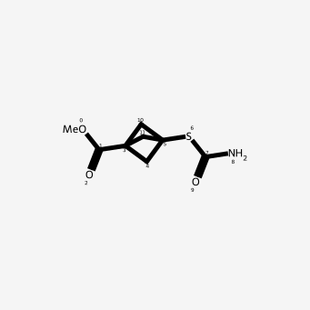 COC(=O)C12CC(SC(N)=O)(C1)C2